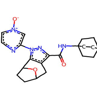 O=C(NC12CCC(CC1)CC2)c1nn(-c2c[n+]([O-])ccn2)c2c1CC1CCC2O1